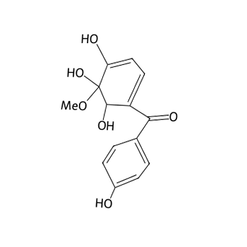 COC1(O)C(O)=CC=C(C(=O)c2ccc(O)cc2)C1O